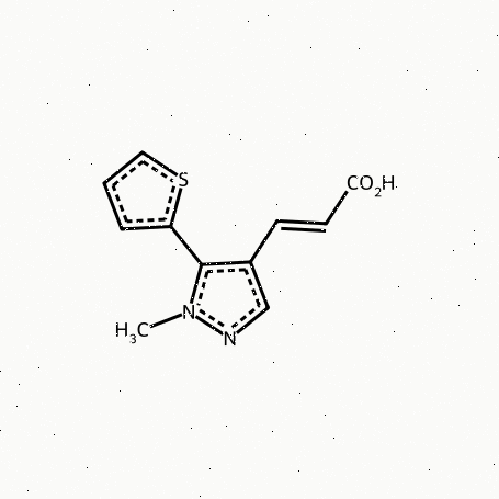 Cn1ncc(C=CC(=O)O)c1-c1cccs1